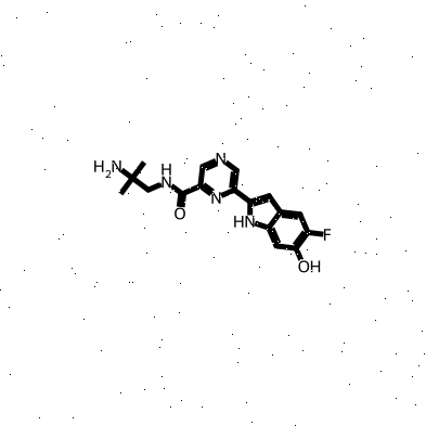 CC(C)(N)CNC(=O)c1cncc(-c2cc3cc(F)c(O)cc3[nH]2)n1